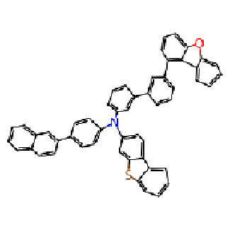 c1cc(-c2cccc(N(c3ccc(-c4ccc5ccccc5c4)cc3)c3ccc4c(c3)sc3ccccc34)c2)cc(-c2cccc3oc4ccccc4c23)c1